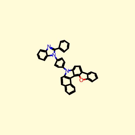 c1ccc(-c2nc3ccccc3n2-c2ccc(-n3c4ccc5ccccc5c4c4c5oc6ccccc6c5ccc43)cc2)cc1